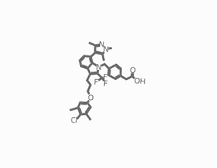 Cc1cc(OCCCc2c(C(F)(F)F)n(Cc3ccc(CC(=O)O)cc3)c3c(-c4c(C)nn(C)c4C)cccc23)cc(C)c1Cl